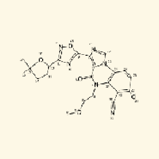 COCCn1c(=O)c2c(-c3nc(C4CCC(C)(C)O4)no3)ncn2c2ccc(Cl)c(C#N)c21